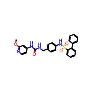 COc1cc(NC(=O)NCc2ccc(NS(=O)(=O)c3ccccc3-c3ccccc3)cc2)ccn1